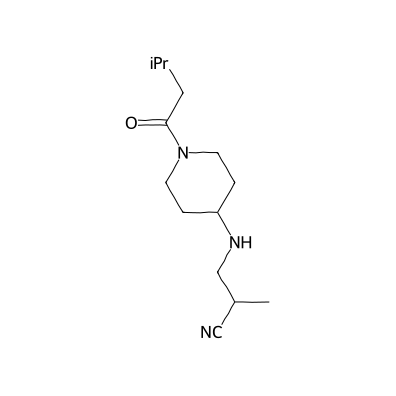 CC(C)CC(=O)N1CCC(NCC(C)C#N)CC1